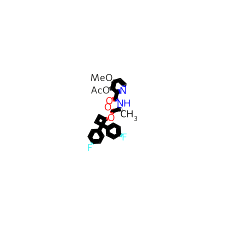 COc1ccnc(C(=O)N[C@@H](C)C(=O)OC2CCC2(c2ccc(F)cc2)c2ccc(F)cc2)c1OC(C)=O